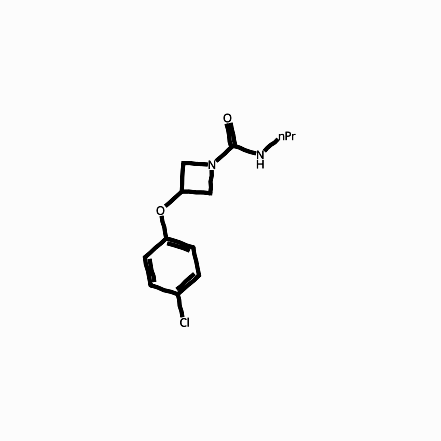 CCCNC(=O)N1CC(Oc2ccc(Cl)cc2)C1